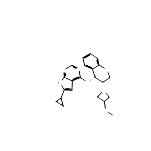 COC1CN([C@H]2COc3ccccc3[C@@H]2Nc2ncnc3[nH]c(C4CC4)cc23)C1